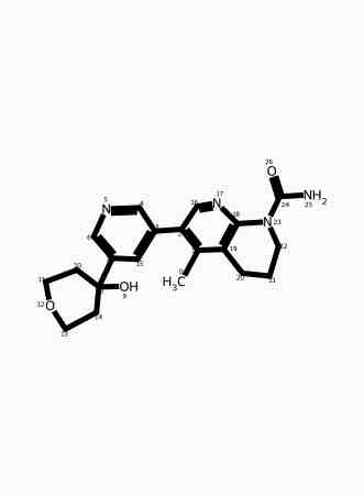 Cc1c(-c2cncc(C3(O)CCOCC3)c2)cnc2c1CCCN2C(N)=O